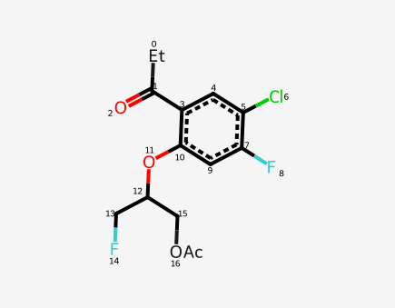 CCC(=O)c1cc(Cl)c(F)cc1OC(CF)COC(C)=O